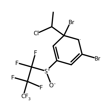 CC(Cl)C1(Br)[CH]C(Br)=CC([S+]([O-])C(F)(F)C(F)(F)C(F)(F)F)=C1